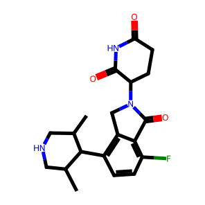 CC1CNCC(C)C1c1ccc(F)c2c1CN(C1CCC(=O)NC1=O)C2=O